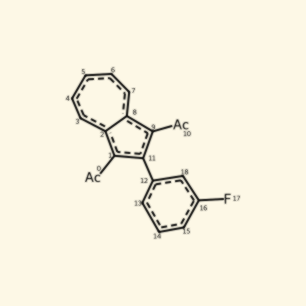 CC(=O)c1c2cccccc-2c(C(C)=O)c1-c1cccc(F)c1